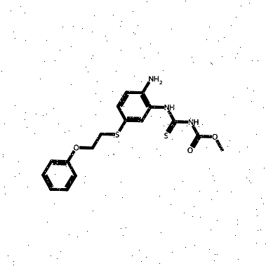 COC(=O)NC(=S)Nc1cc(SCCOc2ccccc2)ccc1N